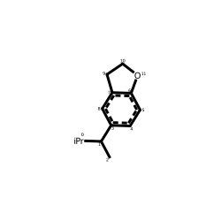 CC(C)C(C)c1ccc2c(c1)CCO2